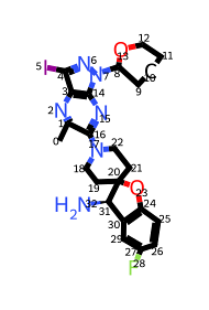 Cc1nc2c(I)nn(C3CCCCO3)c2nc1N1CCC2(CC1)Oc1ccc(F)cc1[C@H]2N